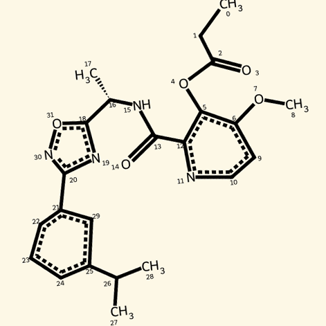 CCC(=O)Oc1c(OC)ccnc1C(=O)N[C@@H](C)c1nc(-c2cccc(C(C)C)c2)no1